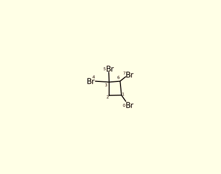 BrC1CC(Br)(Br)C1Br